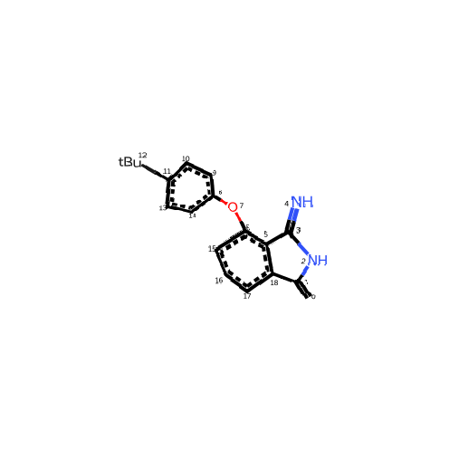 C=C1NC(=N)c2c(Oc3ccc(C(C)(C)C)cc3)cccc21